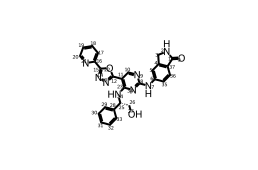 O=C1NCc2cc(Nc3ncc(-c4nnc(-c5ccccn5)o4)c(N[C@H](CO)c4ccccc4)n3)ccc21